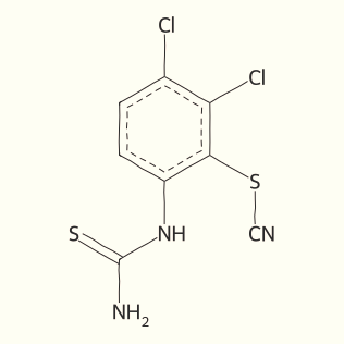 N#CSc1c(NC(N)=S)ccc(Cl)c1Cl